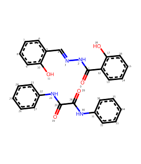 O=C(NN=Cc1ccccc1O)c1ccccc1O.O=C(Nc1ccccc1)C(=O)Nc1ccccc1